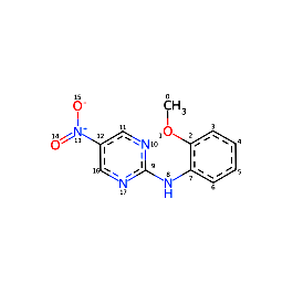 COc1ccccc1Nc1ncc([N+](=O)[O-])cn1